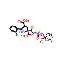 CC(C)(C)OC(=O)NCC(=O)C1(C(=O)O)CC(C(=O)O)C(c2ccccc2F)N1